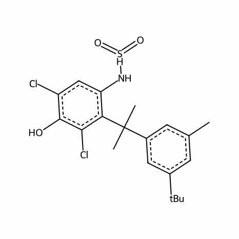 Cc1cc(C(C)(C)C)cc(C(C)(C)c2c(N[SH](=O)=O)cc(Cl)c(O)c2Cl)c1